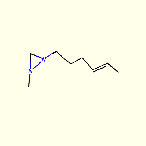 C/C=C/CCCN1CN1C